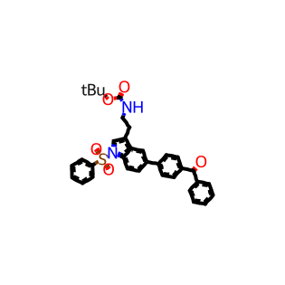 CC(C)(C)OC(=O)NCCc1cn(S(=O)(=O)c2ccccc2)c2ccc(-c3ccc(C(=O)c4ccccc4)cc3)cc12